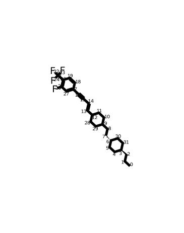 CCC[C@H]1CC[C@H](CCC2CCC(/C=C/C#Cc3ccc(C(F)(F)F)c(F)c3)CC2)CC1